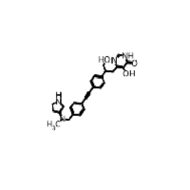 CN(Cc1ccc(C#Cc2ccc(C(CO)Cc3nc[nH]c(=O)c3O)cc2)cc1)C1CCNC1